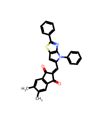 Cc1cc2c(cc1C)C(=O)C(=Cc1cc3sc(-c4ccccc4)nc3n1-c1ccccc1)C2=O